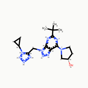 CC(C)(C)c1nc(N2CC[C@H](O)C2)c2nnn(Cc3nnnn3C3CC3)c2n1